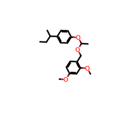 CCC(C)c1ccc(OC(C)OCc2ccc(OC)cc2OC)cc1